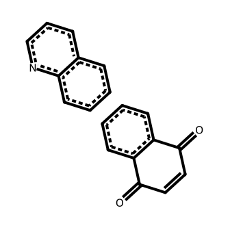 O=C1C=CC(=O)c2ccccc21.c1ccc2ncccc2c1